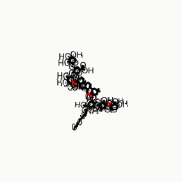 COCCOCCOCC(=O)N[C@H]1C(CO)O[C@@H](OC(=O)[C@]23CCC(C)(C)CC2C2=CCC4C5(C)CC[C@H](O[C@@H]6OC(C(=O)O)C[C@H](O[C@@H]7OC[C@@H](O)[C@H](O)C7O)C6O[C@@H]6OC(CO)[C@H](O)[C@H](O)C6O)[C@](C)(C=O)[C@@H]5CC[C@]4(C)[C@]2(C)CC3O)C(O[C@@H]2OC(C)[C@H](O[C@@H]3OC[C@@H](O)C(O)C3O)C(O)C2O)C1O